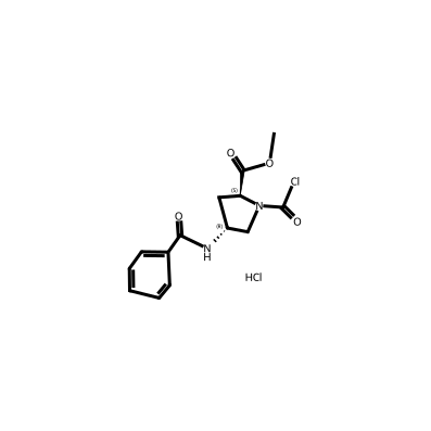 COC(=O)[C@@H]1C[C@@H](NC(=O)c2ccccc2)CN1C(=O)Cl.Cl